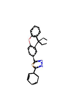 CCC1(CC)c2ccccc2Oc2ccc(-c3nnc(C4C=CC=CC4)s3)cc21